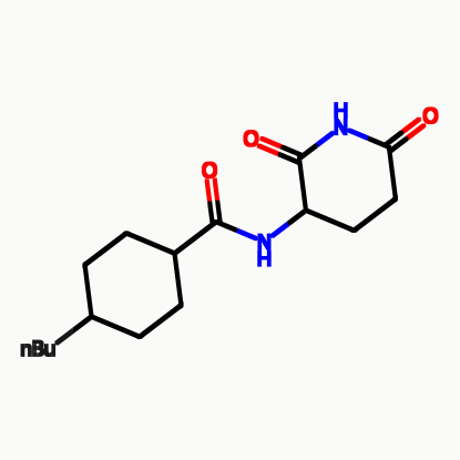 CCCCC1CCC(C(=O)NC2CCC(=O)NC2=O)CC1